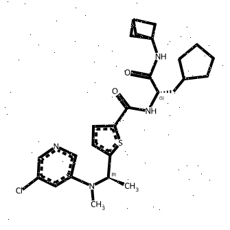 C[C@H](c1ccc(C(=O)N[C@@H](CC2CCCC2)C(=O)NC23CC(C2)C3)s1)N(C)c1cncc(Cl)c1